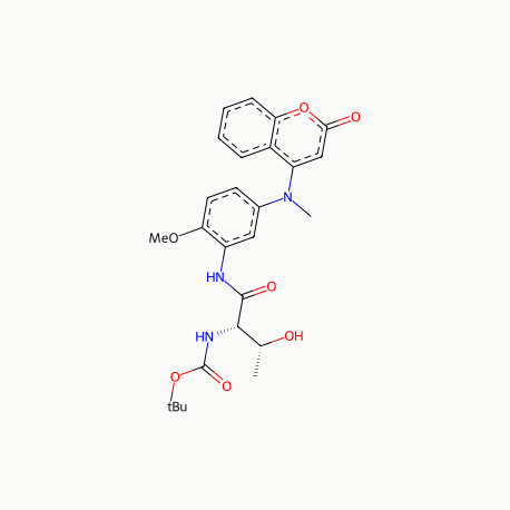 COc1ccc(N(C)c2cc(=O)oc3ccccc23)cc1NC(=O)[C@@H](NC(=O)OC(C)(C)C)[C@@H](C)O